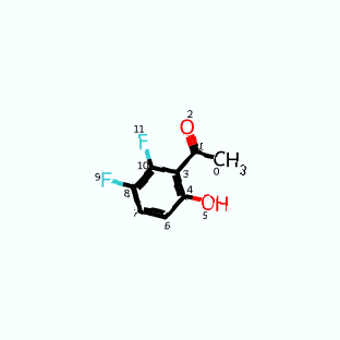 CC(=O)c1c(O)ccc(F)c1F